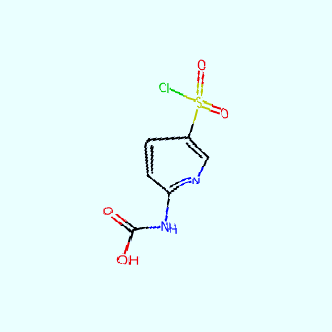 O=C(O)Nc1ccc(S(=O)(=O)Cl)cn1